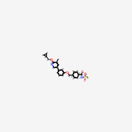 Cc1cc(-c2cccc(OCc3ccc(C(=O)NS(C)(=O)=O)cc3)c2)cnc1OCC1CC1